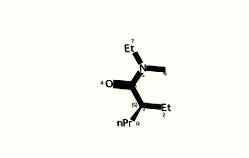 CCC[C@H](CC)C(=O)N(C)CC